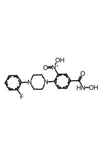 O=C(NO)c1ccc(N2CCN(c3ccccc3F)CC2)c([N+](=O)O)c1